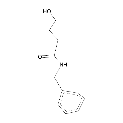 O=C(CCCO)NCc1ccccc1